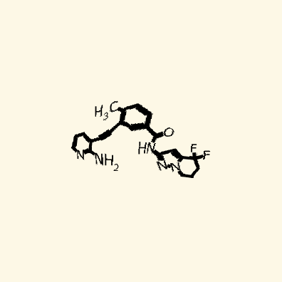 Cc1ccc(C(=O)Nc2cc3n(n2)CCCC3(F)F)cc1C#Cc1cccnc1N